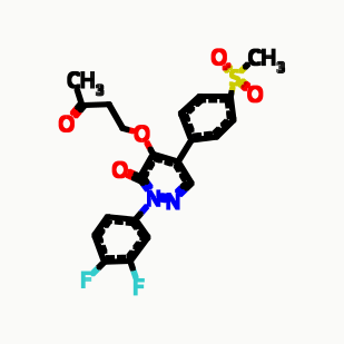 CC(=O)CCOc1c(-c2ccc(S(C)(=O)=O)cc2)cnn(-c2ccc(F)c(F)c2)c1=O